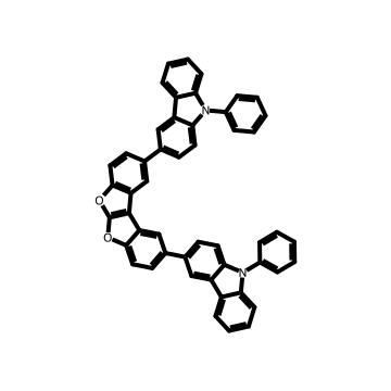 c1ccc(-n2c3ccccc3c3cc(-c4ccc5oc6oc7ccc(-c8ccc9c(c8)c8ccccc8n9-c8ccccc8)cc7c6c5c4)ccc32)cc1